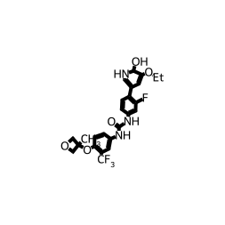 CCOC1=CC(c2ccc(NC(=O)Nc3ccc(OC4(C)COC4)c(C(F)(F)F)c3)cc2F)=CNC1O